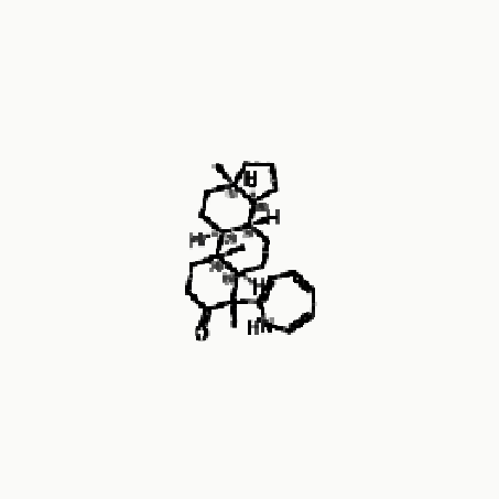 CC1(C2=CC=CC=CN2)C(=O)CC[C@]2(C)[C@H]3CC[C@]4(C)CCC[C@H]4[C@@H]3CC[C@@H]12